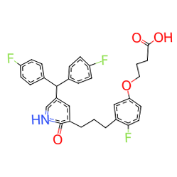 O=C(O)CCCOc1ccc(F)c(CCCc2cc(C(c3ccc(F)cc3)c3ccc(F)cc3)c[nH]c2=O)c1